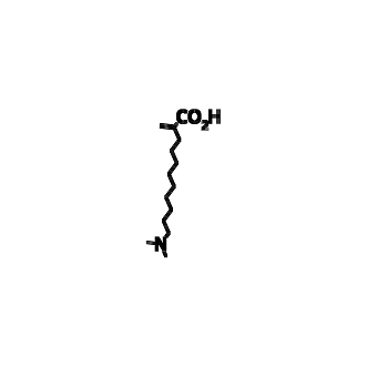 C=C(CCCCCCCCCN(C)C)C(=O)O